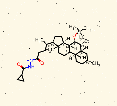 CC[C@H]1[C@@H](O[Si](C)(C)C)[C@@H]2[C@H](CC[C@]3(C)[C@@H]([C@H](C)CCC(=O)NNC(=O)C4CC4)CC[C@@H]23)[C@@]2(C)CC[C@@H](C)C[C@@H]12